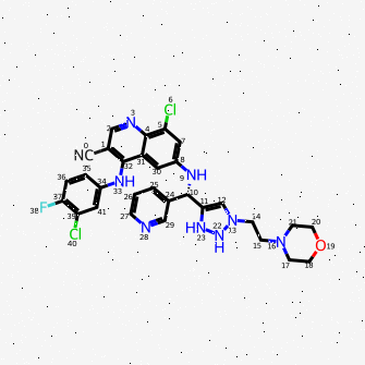 N#Cc1cnc2c(Cl)cc(N[C@H](C3=CN(CCN4CCOCC4)NN3)c3cccnc3)cc2c1Nc1ccc(F)c(Cl)c1